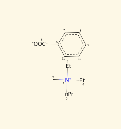 CCC[N+](C)(CC)CC.O=C([O-])c1ccccc1